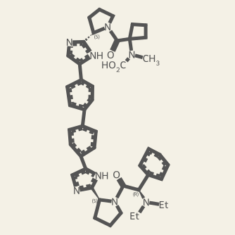 CCN(CC)[C@@H](C(=O)N1CCC[C@H]1c1ncc(-c2ccc(-c3ccc(-c4cnc([C@@H]5CCCN5C(=O)C5(N(C)C(=O)O)CCC5)[nH]4)cc3)cc2)[nH]1)c1ccccc1